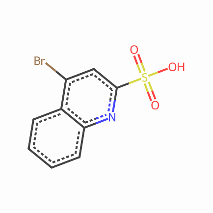 O=S(=O)(O)c1cc(Br)c2ccccc2n1